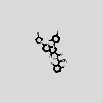 O=C(NC(c1c(F)cccc1F)C(F)(F)F)c1cn(-c2ccc(F)cc2F)c2nc(N3CC[C@H](F)C3)ccc2c1=O